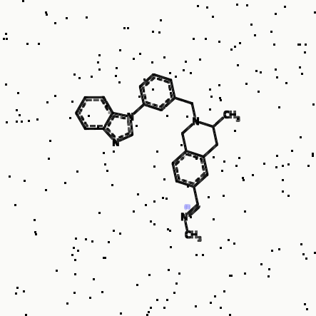 C/N=C/c1ccc2c(c1)CC(C)N(Cc1cccc(-n3cnc4ccccc43)c1)C2